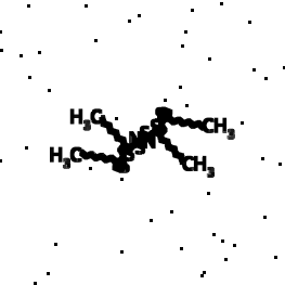 CCCCCCCCc1ccsc1-c1cc(CCCCCCCC)c(-c2nc3sc(-c4sc(-c5sccc5CCCCCCCC)cc4CCCCCCCC)nc3s2)s1